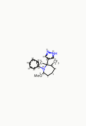 COC1CCCC(C(F)(F)F)C(C)(c2cn[nH]c2)N1c1ccccc1